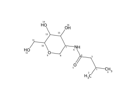 CC(C)CC(=O)NC1COC(CO)C(O)C1O